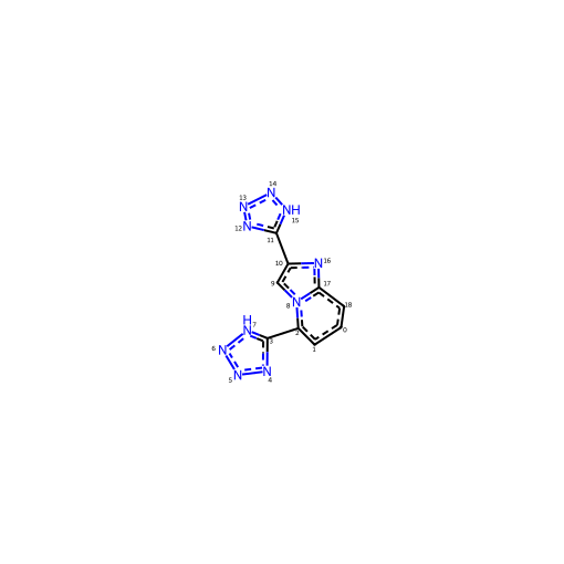 c1cc(-c2nnn[nH]2)n2cc(-c3nnn[nH]3)nc2c1